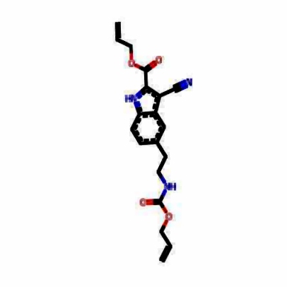 C=CCOC(=O)NCCc1ccc2[nH]c(C(=O)OCC=C)c(C#N)c2c1